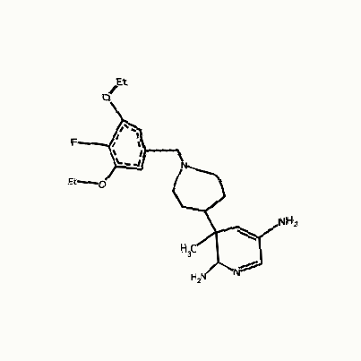 CCOc1cc(CN2CCC(C3(C)C=C(N)C=NC3N)CC2)cc(OCC)c1F